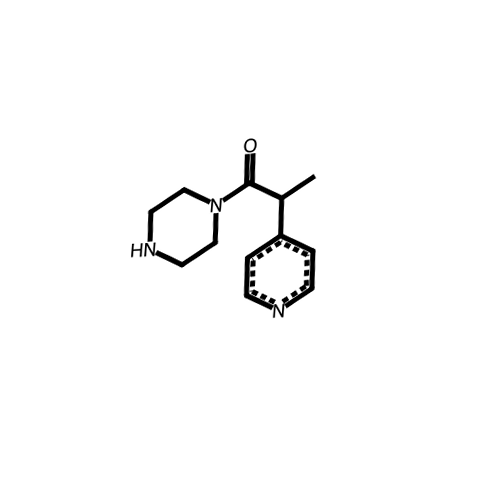 CC(C(=O)N1CCNCC1)c1ccncc1